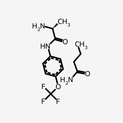 CCCC(N)=O.C[C@H](N)C(=O)Nc1ccc(OC(F)(F)F)cc1